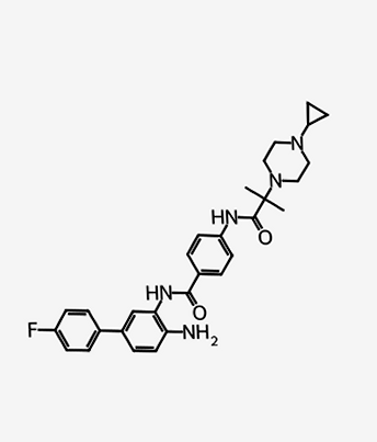 CC(C)(C(=O)Nc1ccc(C(=O)Nc2cc(-c3ccc(F)cc3)ccc2N)cc1)N1CCN(C2CC2)CC1